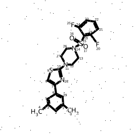 Cc1cc(C)cc(-c2csc(N3CCN(S(=O)(=O)c4c(F)cccc4F)CC3)n2)c1